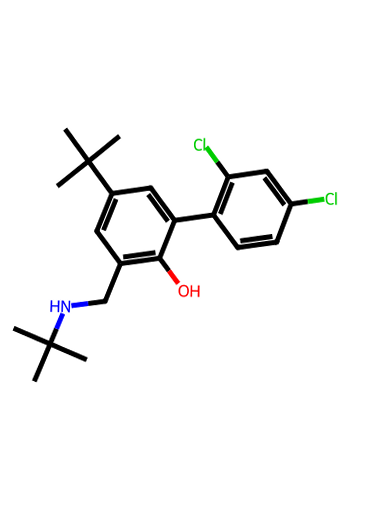 CC(C)(C)NCc1cc(C(C)(C)C)cc(-c2ccc(Cl)cc2Cl)c1O